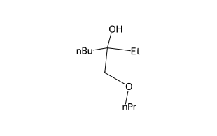 CCCCC(O)(CC)COCCC